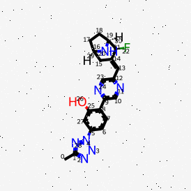 Cc1nnn(-c2ccc(-c3cnc(/C=C4\C[C@H]5CC[C@H](N5)[C@H]4F)cn3)c(O)c2)n1